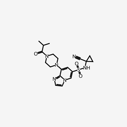 CC(C)C(=O)N1CCN(c2cc(S(=O)(=O)NC3(C#N)CC3)cn3ccnc23)CC1